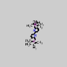 B[PH](Cc1cccc(-c2cccc(CP(C(C)C)C(C)C)n2)n1)(C(C)C)C(C)C